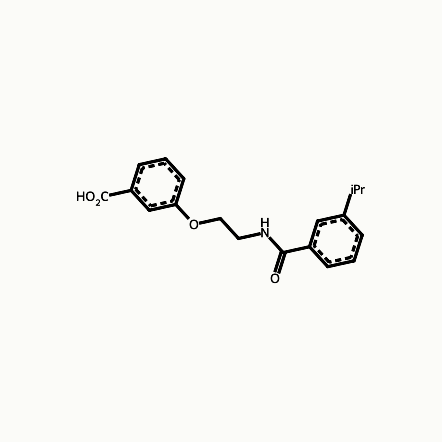 CC(C)c1cccc(C(=O)NCCOc2cccc(C(=O)O)c2)c1